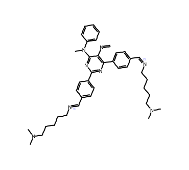 C=Nc1c(-c2ccc(/C=N\CCCCCN(C)C)cc2)nc(-c2ccc(/C=N/CCCCCN(C)C)cc2)nc1N(C)c1ccccc1